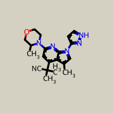 Cc1cn(-c2cc[nH]n2)c2nc(N3CCOCC3C)cc(C(C)(C)C#N)c12